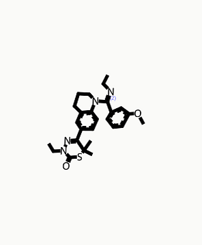 CC/N=C(/c1cccc(OC)c1)N1CCCc2cc(C3=NN(CC)C(=O)SC3(C)C)ccc21